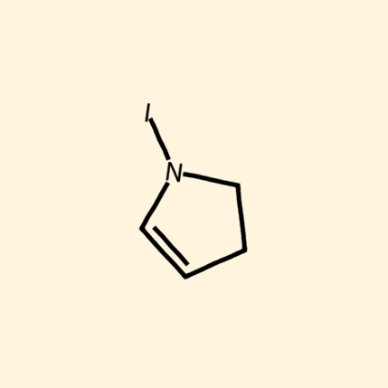 IN1C=CCC1